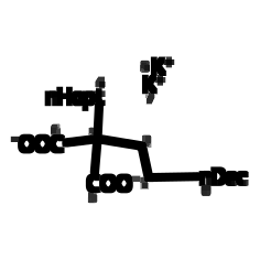 CCCCCCCCCCCCC(CCCCCCC)(C(=O)[O-])C(=O)[O-].[K+].[K+]